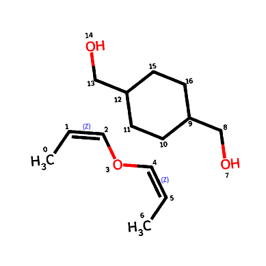 C/C=C\O/C=C\C.OCC1CCC(CO)CC1